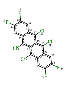 Fc1cc2c(Cl)c3c(Cl)c4cc(F)c(F)cc4c(Cl)c3c(Cl)c2cc1F